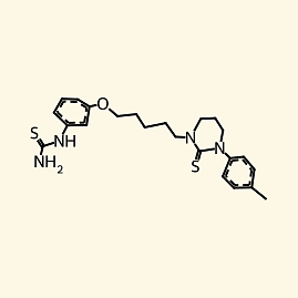 Cc1ccc(N2CCCN(CCCCCOc3cccc(NC(N)=S)c3)C2=S)cc1